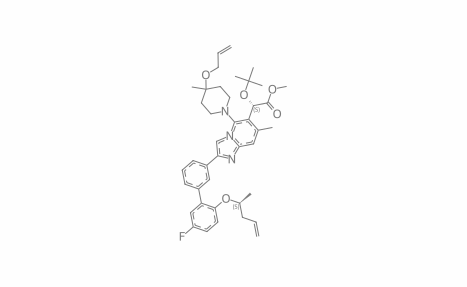 C=CCOC1(C)CCN(c2c([C@H](OC(C)(C)C)C(=O)OC)c(C)cc3nc(-c4cccc(-c5cc(F)ccc5O[C@@H](C)CC=C)c4)cn23)CC1